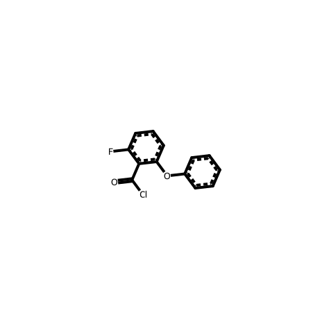 O=C(Cl)c1c(F)cccc1Oc1ccccc1